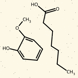 CCCCCCC(=O)O.COc1ccccc1O